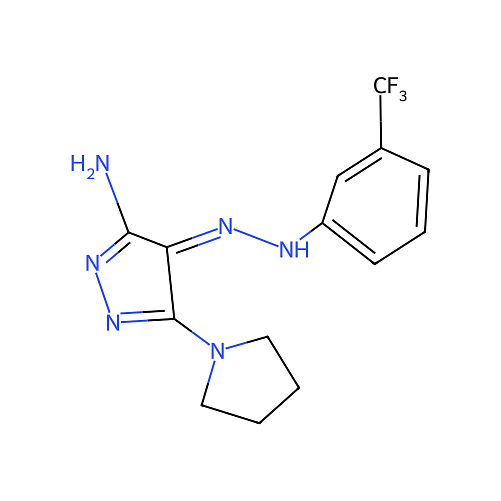 NC1=NN=C(N2CCCC2)/C1=N\Nc1cccc(C(F)(F)F)c1